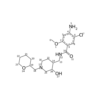 COc1cc(N)c(Cl)cc1C(=O)NCC1CCN(CC2CCCCO2)CC1O